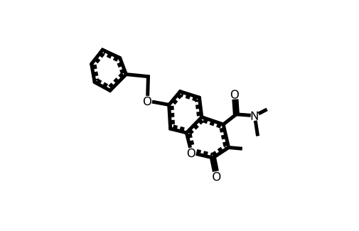 Cc1c(C(=O)N(C)C)c2ccc(OCc3ccccc3)cc2oc1=O